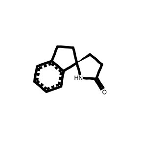 O=C1CC[C@@]2(CCc3ccccc32)N1